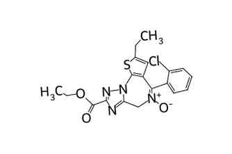 CCOC(=O)c1nc2n(n1)-c1sc(CC)cc1C(c1ccccc1Cl)=[N+]([O-])C2